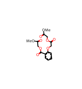 COC(=O)COC(=O)COc1ccccc1C(=O)OCC(=O)OC